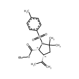 C=C(C)[C@H]1CC(C)(C)N(S(=O)(=O)c2ccc(C)cc2)[C@H]1C(=O)OC(C)(C)C